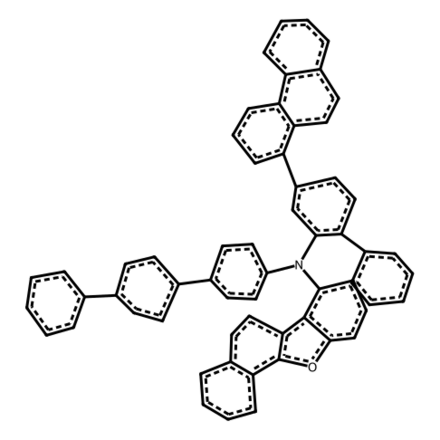 c1ccc(-c2ccc(-c3ccc(N(c4cc(-c5cccc6c5ccc5ccccc56)ccc4-c4ccccc4)c4cccc5oc6c7ccccc7ccc6c45)cc3)cc2)cc1